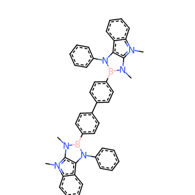 CN1B(c2ccc(-c3ccc(B4N(C)c5c(c6ccccc6n5C)N4c4ccccc4)cc3)cc2)N(c2ccccc2)c2c1n(C)c1ccccc21